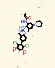 C=CC(=O)Nc1cc(N2CCCCC2)cc(C)c1Nc1ncc2cc(-c3c(Cl)c(OC)cc(OC)c3Cl)ccc2n1